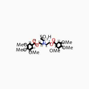 COc1cc(C(=O)OCCN(CCOC(=O)c2cc(OC)c(OC)c(OC)c2)CCS(=O)(=O)O)cc(OC)c1OC